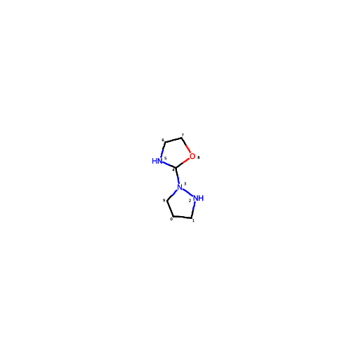 C1CNN(C2NCCO2)C1